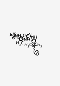 Cc1cc(CNS(=O)(=O)C2CC2)ccc1Nc1nc(NC2=CC(C)C(C)(OCCN3CCOCC3)C=C2)ncc1C